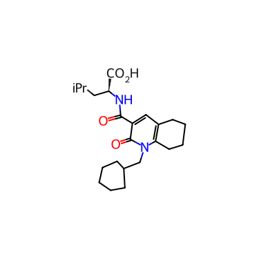 CC(C)C[C@H](NC(=O)c1cc2c(n(CC3CCCCC3)c1=O)CCCC2)C(=O)O